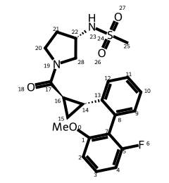 COc1cccc(F)c1-c1ccccc1[C@@H]1C[C@H]1C(=O)N1CC[C@H](NS(C)(=O)=O)C1